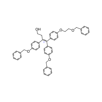 OCC/C(=C(\c1ccc(OCCOCc2ccccc2)cc1)c1ccc(OCc2ccccc2)cc1)c1ccc(OCc2ccccc2)cc1